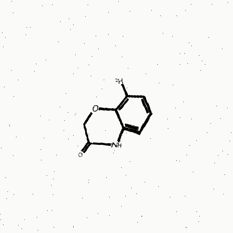 [2H]c1cccc2c1OCC(=O)N2